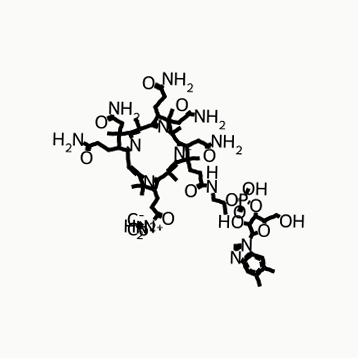 C/C1=C2N=C(/C=C3N=C(/C(C)=C4\[N-]C(C(CC(N)=O)C4(C)CCC(=O)NCC(C)OP(=O)(O)OC4C(CO)OC(n5cnc6cc(C)c(C)cc65)C4O)C4(C)N=C1C(CCC(N)=O)C4(C)CC(N)=O)C(CCC(N)=O)C\3(C)C)C(CCC(N)=O)C/2(C)CC(N)=O.[C-]#N.[Co+2]